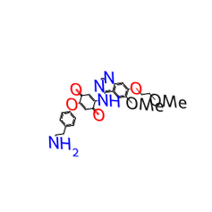 COCCOc1cc2ncnc(NC3=CC(=O)C(Oc4ccc(CCN)cc4)=CC3=O)c2cc1OC